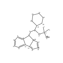 CC(C)(C)[Si](C)(C)OC(CC1c2ccccc2-c2cncn21)C1CCCCC1